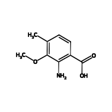 COc1c(C)ccc(C(=O)O)c1N